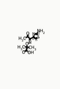 CC(=O)C(=NOC(C)(C)C(=O)O)c1csc(N)n1